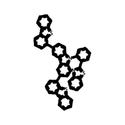 c1ccc(-n2c3ccc(-c4cccc5c4sc4ccccc45)cc3c3cc(-c4cccc5c4sc4ccccc45)ccc32)c(-c2nc3ccccc3s2)c1